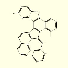 Fc1ccc2[nH]c3c4cccc(F)c4c4c(c3c2c1)-c1ccc2ccccc2c1/C4=C\c1ccccc1